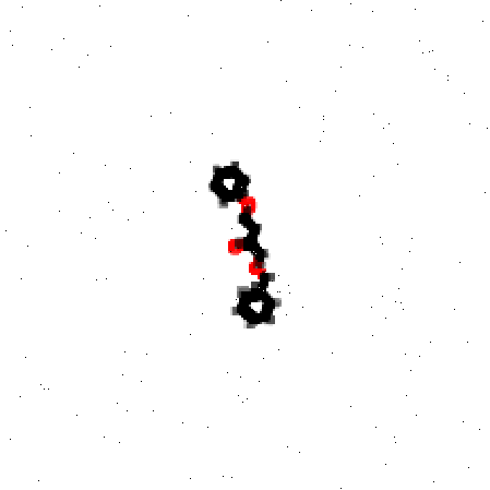 O=C(CCOc1ccccc1)COCc1ccccc1